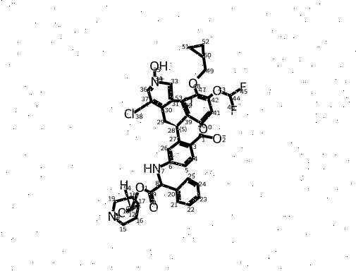 O=C([O-])c1ccc(NC(C(=O)O[C@H]2CN3CCC2CC3)c2ccccc2)cc1[C@@H](Cc1c(Cl)c[n+](O)cc1Cl)c1ccc(OC(F)F)c(OCC2CC2)c1